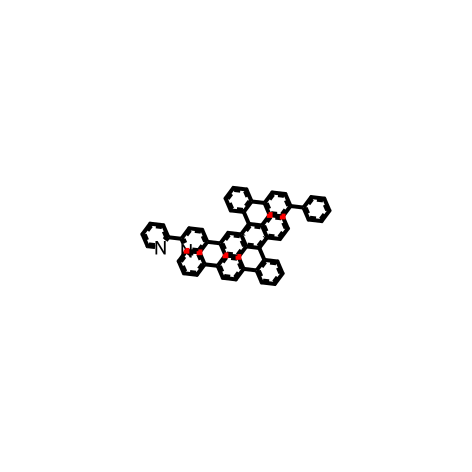 c1ccc(-c2ccc(-c3ccccc3-c3c4ccccc4c(-c4ccccc4-c4ccc(-c5ccccc5)cc4)c4cc(-c5ccc(-c6ccccn6)nc5)ccc34)cc2)cc1